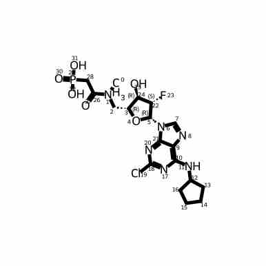 CN(C[C@H]1O[C@@H](n2cnc3c(NC4CCCC4)nc(Cl)nc32)[C@@H](F)[C@@H]1O)C(=O)CP(=O)(O)O